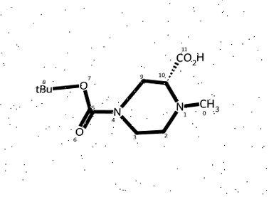 CN1CCN(C(=O)OC(C)(C)C)C[C@@H]1C(=O)O